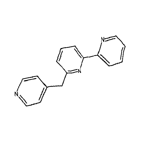 c1ccc(-c2cccc(Cc3ccncc3)n2)nc1